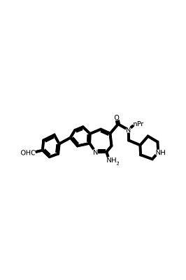 CCCN(CC1CCNCC1)C(=O)C1=Cc2ccc(-c3ccc(C=O)cc3)cc2N=C(N)C1